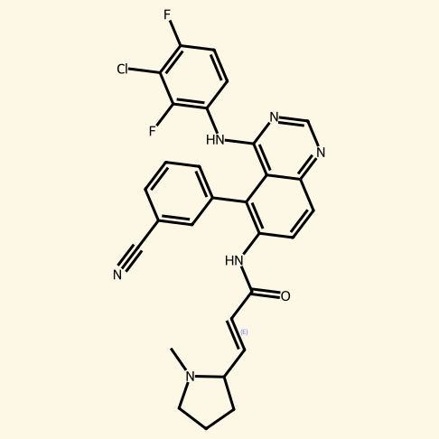 CN1CCCC1/C=C/C(=O)Nc1ccc2ncnc(Nc3ccc(F)c(Cl)c3F)c2c1-c1cccc(C#N)c1